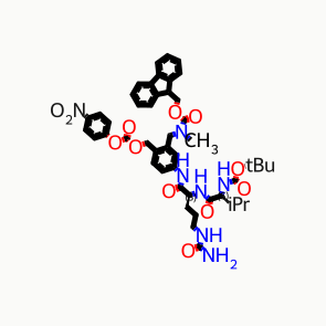 CC(C)[C@H](NC(=O)OC(C)(C)C)C(=O)N[C@@H](CCCNC(N)=O)C(=O)Nc1ccc(COC(=O)Oc2ccc([N+](=O)[O-])cc2)c(CN(C)C(=O)OCC2c3ccccc3-c3ccccc32)c1